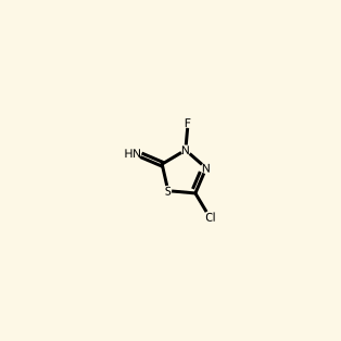 N=c1sc(Cl)nn1F